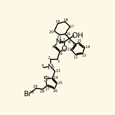 CN(CCc1cnc(C(O)(c2ccccc2)C2CCCCC2)o1)Cc1ccc(CCBr)s1